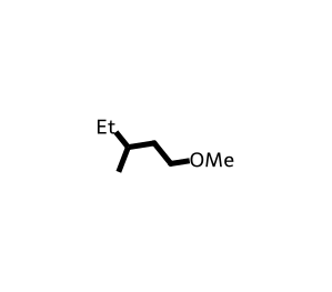 [CH2]OCCC(C)CC